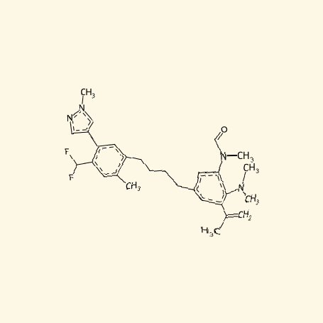 C=C(C)c1cc(CCCCc2cc(-c3cnn(C)c3)c(C(F)F)cc2C)cc(N(C)C=O)c1N(C)C